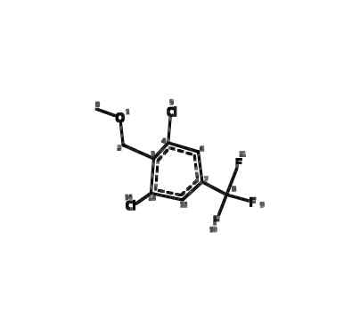 COCc1c(Cl)cc(C(F)(F)F)cc1Cl